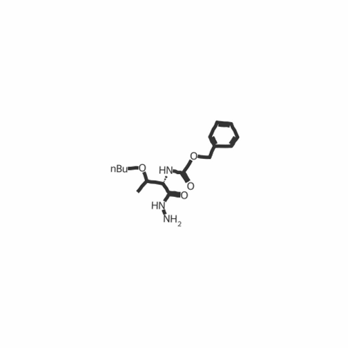 CCCCOC(C)[C@H](NC(=O)OCc1ccccc1)C(=O)NN